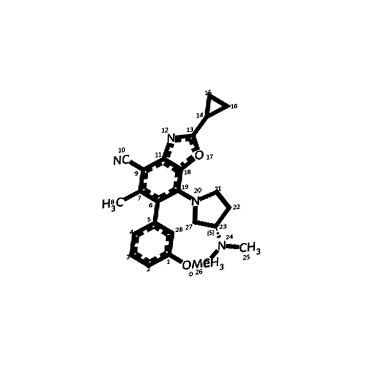 COc1cccc(-c2c(C)c(C#N)c3nc(C4CC4)oc3c2N2CC[C@H](N(C)C)C2)c1